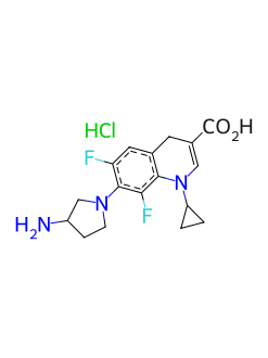 Cl.NC1CCN(c2c(F)cc3c(c2F)N(C2CC2)C=C(C(=O)O)C3)C1